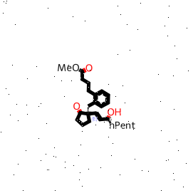 CCCCC[C@H](O)/C=C/[C@@]1(Cc2ccccc2CCCC(=O)OC)CCCC1=O